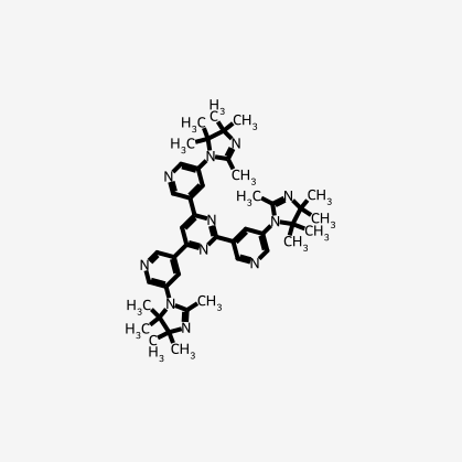 CC1=NC(C)(C)C(C)(C)N1c1cncc(-c2cc(-c3cncc(N4C(C)=NC(C)(C)C4(C)C)c3)nc(-c3cncc(N4C(C)=NC(C)(C)C4(C)C)c3)n2)c1